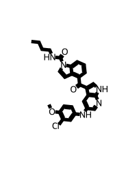 CCCCNC(=O)n1ccc2c(C(=O)c3c[nH]c4ncc(Nc5ccc(OC)c(Cl)c5)cc34)cccc21